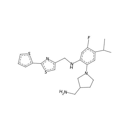 CC(C)c1cc(N2CCC(CN)C2)c(NCc2csc(-c3cccs3)n2)cc1F